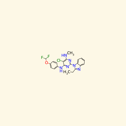 CCc1nc2ccccc2n1-c1nc(NC)c(Cl)c(Nc2ccc(OC(F)F)cc2)n1